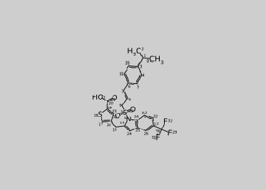 CC(C)c1ccc(C=CCS(=O)(=O)n2c(Cc3csc(C(=O)O)c3)cc3cc(C(F)(F)F)ccc32)cc1